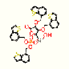 O=C1O[C@H]([C@H](CO)OP(=O)(OCc2cccc3ccsc23)OCc2cccc3ccsc23)C(OCc2cccc3ccsc23)=C1OCc1cccc2ccsc12